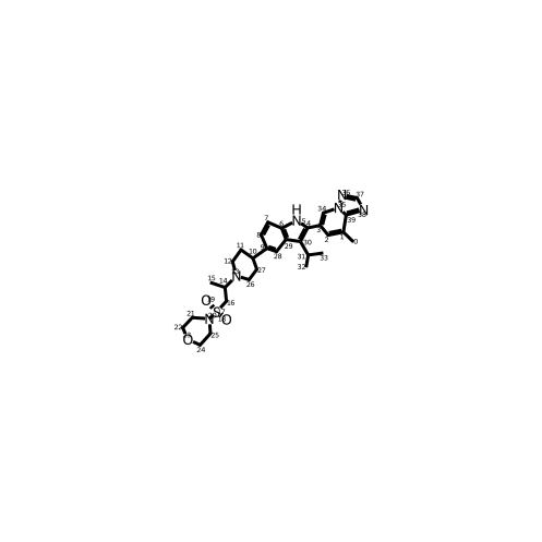 Cc1cc(-c2[nH]c3ccc(C4CCN(C(C)CS(=O)(=O)N5CCOCC5)CC4)cc3c2C(C)C)cn2ncnc12